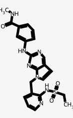 CCS(=O)(=O)Nc1ncccc1Cn1ccc2cnc(Nc3cccc(C(=O)NC)c3)nc21